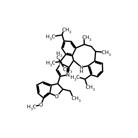 CCC1Oc2c(OC)cccc2C1c1cn(C)c(C2Nc3c(C(C)C)cccc3C(C)CC(C)c3cc(C(C)C)cc(C(C)C)c32)n1